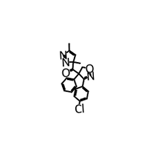 CC1=CC(C)(C(=O)C2(c3ccccc3)CON=C2c2ccc(Cl)cc2)N=N1